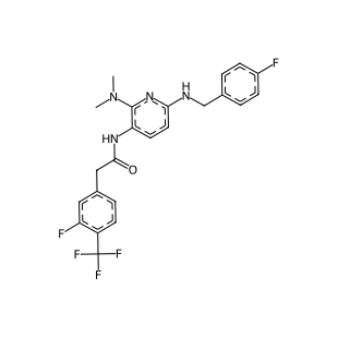 CN(C)c1nc(NCc2ccc(F)cc2)ccc1NC(=O)Cc1ccc(C(F)(F)F)c(F)c1